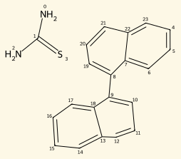 NC(N)=S.c1ccc2c(-c3cccc4ccccc34)cccc2c1